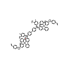 C=Cc1ccc(Oc2ccc(C3(c4c(F)cccc4F)c4ccccc4-c4ccc(N(c5ccc(-c6ccc(N(c7ccc(C)c(F)c7)c7ccc8c(c7)[C@](c7ccc(Oc9ccc(C=C)cc9)cc7)(c7c(F)cccc7F)c7ccccc7-8)cc6)cc5)c5ccc(C)c(F)c5)cc43)cc2)cc1